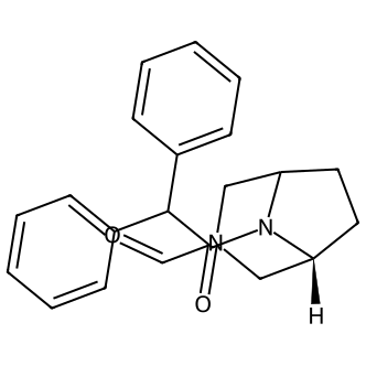 O=CN1CC2CC[C@H](C1)N2C(=O)C(c1ccccc1)c1ccccc1